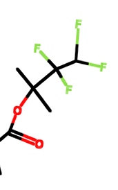 C=CC(=O)OC(C)(C)C(F)(F)C(F)F